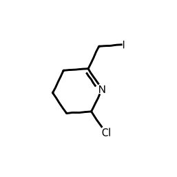 ClC1CCCC(CI)=N1